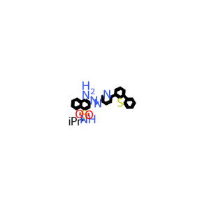 CC(C)NS(=O)(=O)c1cc(/N=N/c2ccc(-c3cccc4c3sc3ccccc34)nc2)c(N)c2ccccc12